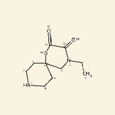 CCN1CC2(CCNCC2)OC(=O)C1=O